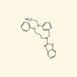 O=C(O)COc1cccc(CN(CCCOc2ccccc2)c2nc3ccccc3o2)c1